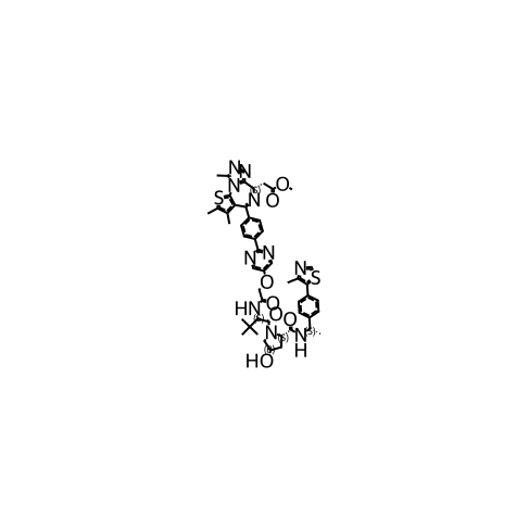 COC(=O)C[C@@H]1N=C(c2ccc(-c3ncc(OCC(=O)N[C@H](C(=O)N4C[C@H](O)C[C@H]4C(=O)N[C@@H](C)c4ccc(-c5scnc5C)cc4)C(C)(C)C)cn3)cc2)c2c(sc(C)c2C)-n2c(C)nnc21